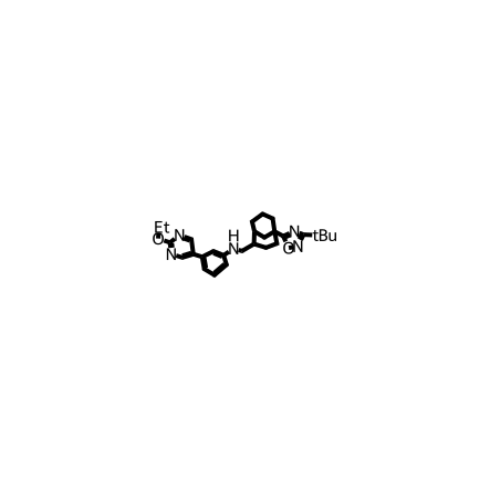 CCOc1ncc(-c2cccc(NCC3CCC4(c5nc(C(C)(C)C)no5)CCCC3C4)c2)cn1